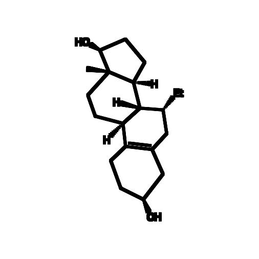 CC[C@@H]1CC2=C(CC[C@H](O)C2)[C@H]2CC[C@]3(C)[C@@H](O)CC[C@H]3[C@H]12